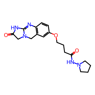 O=C1CN2Cc3cc(OCCCC(=O)NN4CCCC4)ccc3N=C2N1